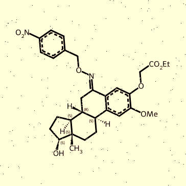 CCOC(=O)COc1cc2c(cc1OC)[C@H]1CC[C@]3(C)[C@@H](O)CC[C@H]3[C@@H]1CC2=NOCc1ccc([N+](=O)[O-])cc1